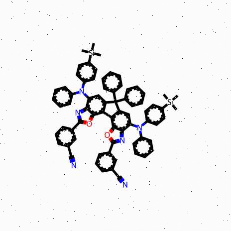 C[Si](C)(C)c1ccc(N(c2ccccc2)c2cc3c(c4oc(-c5cccc(C#N)c5)nc24)-c2c(cc(N(c4ccccc4)c4ccc([Si](C)(C)C)cc4)c4nc(-c5cccc(C#N)c5)oc24)C3(c2ccccc2)c2ccccc2)cc1